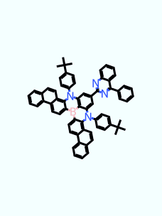 CC(C)(C)c1ccc(N2c3cc(-c4nc(-c5ccccc5)c5ccccc5n4)cc4c3B(c3ccc5c(ccc6ccccc65)c32)c2ccc3c(ccc5ccccc53)c2N4c2ccc(C(C)(C)C)cc2)cc1